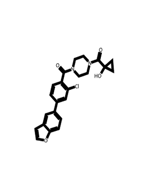 O=C(c1ccc(-c2ccc3occc3c2)cc1Cl)N1CCN(C(=O)C2(O)CC2)CC1